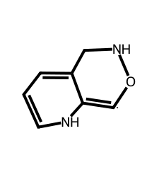 [C]1=C2NC=CC=C2CNO1